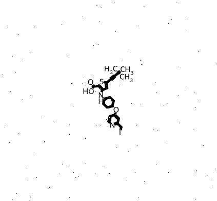 CC(C)(C)C#Cc1cc(N[C@H]2CC[C@H](Oc3ccnc(CI)c3)CC2)c(C(=O)O)s1